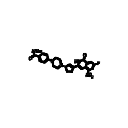 CNC(=O)c1ccc(N2CCN([C@@H]3C=C(c4cc5c([N+](=O)[O-])cc(F)cc5c(=O)[nH]4)CC3)CC2)cc1